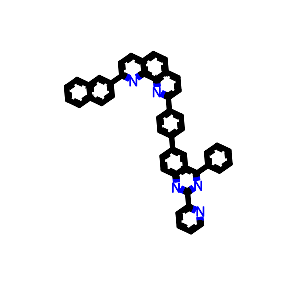 c1ccc(-c2nc(-c3ccccn3)nc3ccc(-c4ccc(-c5ccc6ccc7ccc(-c8ccc9ccccc9c8)nc7c6n5)cc4)cc23)cc1